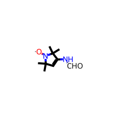 CC1(C)C=C(NC=O)C(C)(C)N1[O]